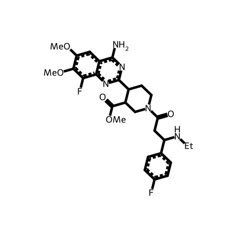 CCNC(CC(=O)N1CCC(c2nc(N)c3cc(OC)c(OC)c(F)c3n2)C(C(=O)OC)C1)c1ccc(F)cc1